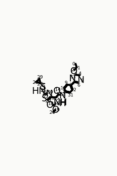 CCOc1cncc(-c2ccc(NC(=O)C(NC(=O)OC)c3csc(NSC4CC4)n3)cc2)n1